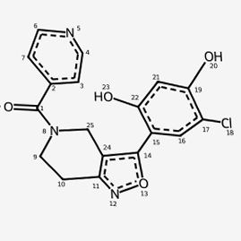 O=C(c1ccncc1)N1CCc2noc(-c3cc(Cl)c(O)cc3O)c2C1